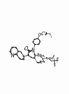 COc1ccc(-n2c3c(cc(-c4ccc5ncccc5c4)c2=O)C=NC(NCC(F)(F)F)N3)cc1